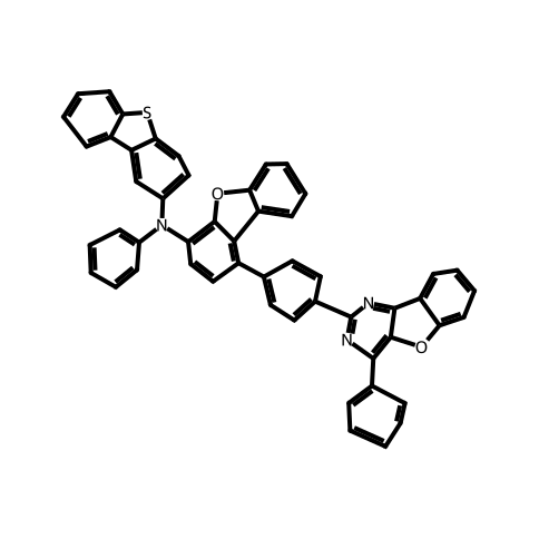 c1ccc(-c2nc(-c3ccc(-c4ccc(N(c5ccccc5)c5ccc6sc7ccccc7c6c5)c5oc6ccccc6c45)cc3)nc3c2oc2ccccc23)cc1